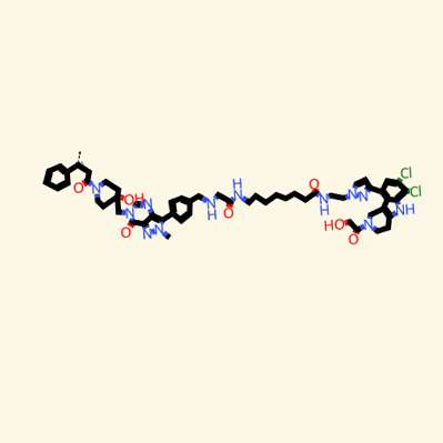 C[C@H](CC(=O)N1CCC(O)(Cn2cnc3c(-c4ccc(CNCC(=O)NCCCCCCCC(=O)NCCn5ccc(-c6cc(Cl)c(Cl)c7[nH]c8c(c67)CN(C(=O)CO)CC8)n5)cc4)n(C)nc3c2=O)CC1)c1ccccc1